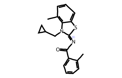 Cc1ccccc1C(=O)/N=c1/sc2cccc(C)c2n1CC1CC1